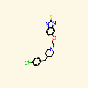 S=C1N=c2ccc(OCCN3CCC(Cc4ccc(Cl)cc4)CC3)cc2=N1